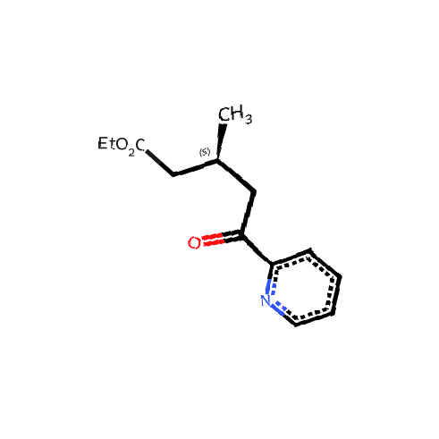 CCOC(=O)C[C@@H](C)CC(=O)c1ccccn1